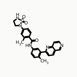 Cc1cc(N2CCNS2(=O)=O)ccc1C(=O)Nc1ccc(C)c(-c2ccc3cnccc3n2)c1